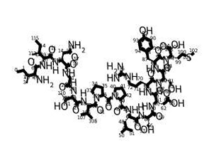 CC[C@H](C)[C@H](N)C(=O)N[C@H](C(=O)N[C@@H](CC(N)=O)C(=O)NCC(=O)N[C@H](C(=O)N[C@H](C(=O)N1CCC[C@H]1C(=O)N1CCC[C@H]1C(=O)N[C@@H](CC(C)C)C(=O)N[C@@H](CO)C(=O)N[C@@H](CC(=O)O)C(=O)N[C@@H](CCCNC(=N)N)C(=O)N[C@@H](CO)C(=O)N[C@@H](Cc1ccc(O)cc1)C(=O)N[C@@H](CCSC)C(=O)O)C(C)C)[C@@H](C)O)[C@@H](C)CC